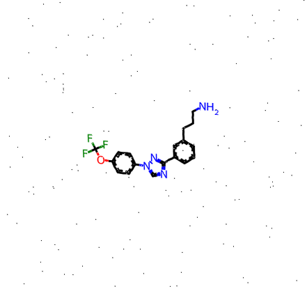 NCCCc1cccc(-c2ncn(-c3ccc(OC(F)(F)F)cc3)n2)c1